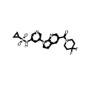 O=C(c1cnc2c(ccn2-c2cncc(NS(=O)(=O)C3CC3)c2)c1)N1CCC(F)(F)CC1